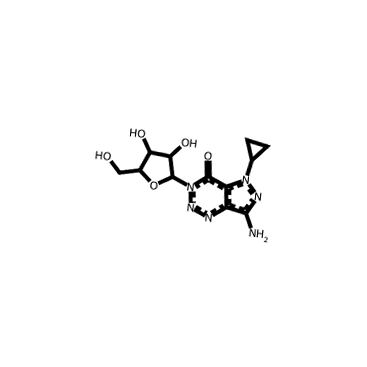 Nc1nn(C2CC2)c2c(=O)n(C3OC(CO)C(O)C3O)nnc12